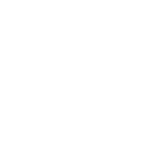 C=COc1ccc2cc(O)ccc2c1